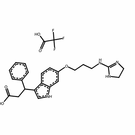 O=C(O)C(F)(F)F.O=C(O)CC(c1ccccc1)c1c[nH]c2cc(OCCCNC3=NCCN3)ccc12